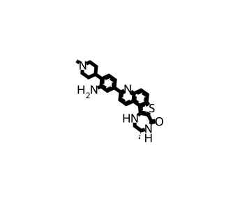 C[C@@H]1CNc2c(sc3ccc4nc(-c5ccc(C6CCN(C)CC6)c(N)c5)ccc4c23)C(=O)N1